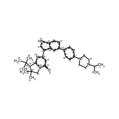 CC(C)N1CCN(c2ccc(-c3ccc4[nH]cc(-c5cc(=O)n6c(n5)N(C(C)(C)C)C(C)(C)C6)c4c3)cc2)CC1